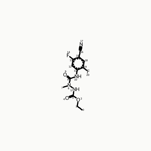 CCOC(=O)NN(C)C(=O)Nc1cc(F)c(C#N)cc1F